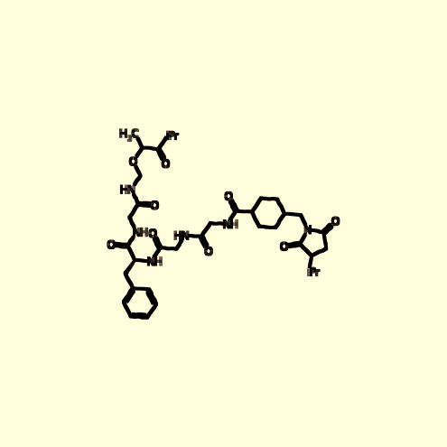 CC(C)C(=O)C(C)OCNC(=O)CNC(=O)[C@H](Cc1ccccc1)NC(=O)CNC(=O)CNC(=O)C1CCC(CN2C(=O)CC(C(C)C)C2=O)CC1